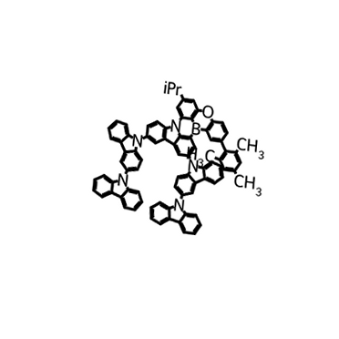 Cc1cc(C)c(-c2ccc3c(c2)B2c4c(cc(C(C)C)cc4-n4c5ccc(-n6c7ccccc7c7cc(-n8c9ccccc9c9ccccc98)ccc76)cc5c5cc(-n6c7ccccc7c7cc(-n8c9ccccc9c9ccccc98)ccc76)cc2c54)O3)c(C)c1